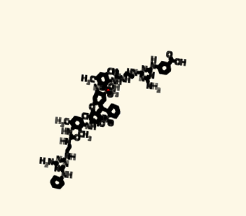 Cc1cc(C)c(NC(=O)NCCNc2nc(N)nc(Nc3cccc(C(=O)O)c3)n2)c(C)c1/N=c1/cc2oc3cc(Nc4c(C)cc(C)c(NC(=O)NCCNc5nc(N)nc(Nc6ccccc6)n5)c4C)ccc3c(-c3ccccc3S(=O)(=O)O)c-2cc1S(=O)(=O)O